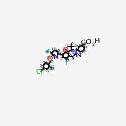 CC1(C)COC[C@H]1n1c(Cc2ccc(-c3ccc(F)c(OCc4ccc(Cl)cc4F)n3)cc2F)nc2ccc(C(=O)O)cc21